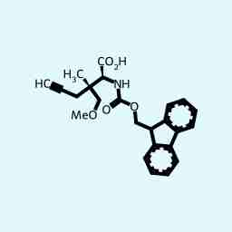 C#CC[C@@](C)(COC)[C@H](NC(=O)OCC1c2ccccc2-c2ccccc21)C(=O)O